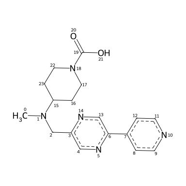 CN(Cc1cnc(-c2ccncc2)cn1)C1CCN(C(=O)O)CC1